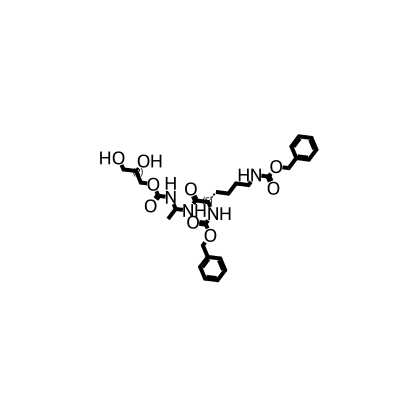 CC(NC(=O)OC[C@H](O)CO)NC(=O)[C@H](CCCCNC(=O)OCc1ccccc1)NC(=O)OCc1ccccc1